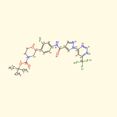 CC(C)(C)OC(=O)N1CCOC(c2ccc(NC(=O)c3cnn(-c4cc(C(F)(F)F)ncn4)c3)cc2F)C1